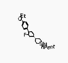 CCCCC[Si@H]1CC[C@H](c2ccc(-c3ccc(OCC)cc3)c(F)c2)CC1